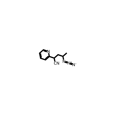 CC(CC(C#N)c1ccccn1)N=[N+]=[N-]